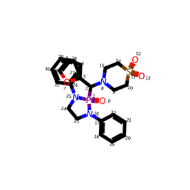 O=P1(C(c2ccco2)N2CCS(=O)(=O)CC2)N(c2ccccc2)CCN1c1ccccc1